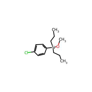 CCC[Si](CCC)(OC)c1ccc(Cl)cc1